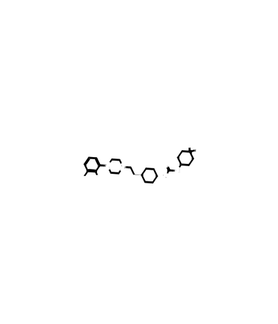 O=C(NC1CCC(F)(F)CC1)N[C@H]1CC[C@H](CCN2CCN(c3cccc(Cl)c3Cl)CC2)CC1